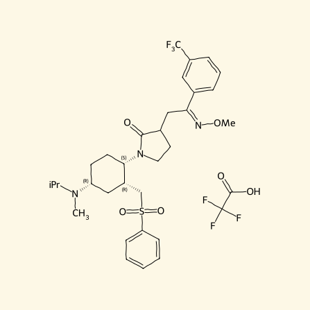 CON=C(CC1CCN([C@H]2CC[C@@H](N(C)C(C)C)C[C@H]2CS(=O)(=O)c2ccccc2)C1=O)c1cccc(C(F)(F)F)c1.O=C(O)C(F)(F)F